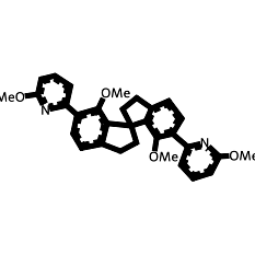 COc1cccc(-c2ccc3c(c2OC)C2(CC3)CCc3ccc(-c4cccc(OC)n4)c(OC)c32)n1